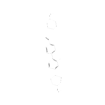 CCC[C@H]1CC[C@H](OC(=O)c2ccc(-c3ccc([C@H]4CC[C@H](CCC)CC4)cc3F)cc2)CC1